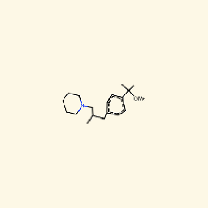 COC(C)(C)c1ccc(CC(C)CN2CCCCC2)cc1